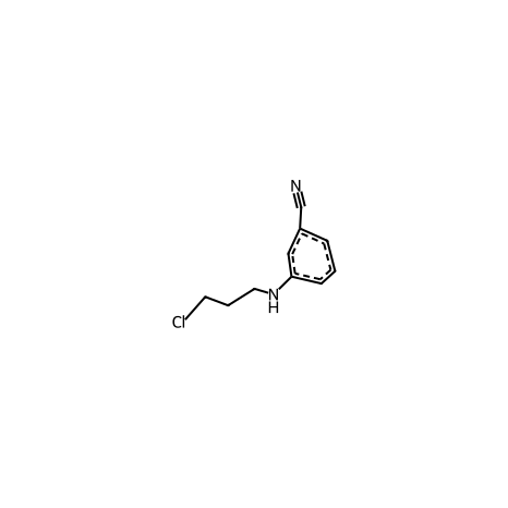 N#Cc1cccc(NCCCCl)c1